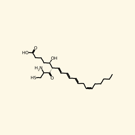 CCCCC/C=C\CC=CC=C/C=C/[C@H](C(=O)C(N)CS)[C@H](O)CCCC(=O)O